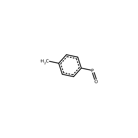 [CH2]c1ccc(P=O)cc1